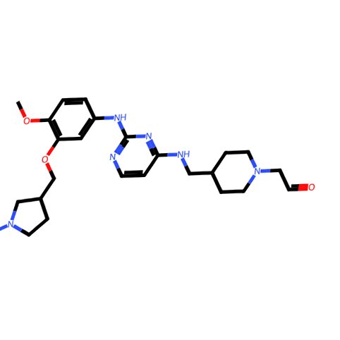 COc1ccc(Nc2nccc(NCC3CCN(CC=O)CC3)n2)cc1OCC1CCN(C)C1